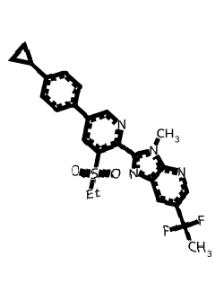 CCS(=O)(=O)c1cc(-c2ccc(C3CC3)cc2)cnc1-c1nc2cc(C(C)(F)F)cnc2n1C